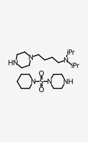 CC(C)N(CCCCN1CCNCC1)C(C)C.O=S(=O)(N1CCCCC1)N1CCNCC1